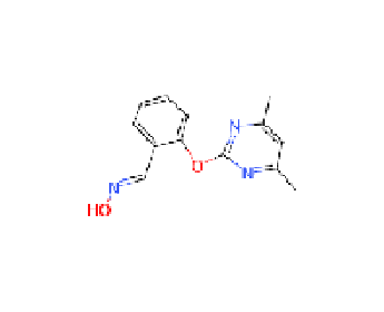 Cc1cc(C)nc(Oc2ccccc2C=NO)n1